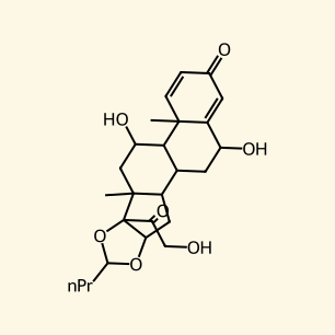 CCCC1OC2CC3C4CC(O)C5=CC(=O)C=CC5(C)C4C(O)CC3(C)C2(C(=O)CO)O1